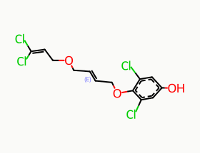 Oc1cc(Cl)c(OC/C=C/COCC=C(Cl)Cl)c(Cl)c1